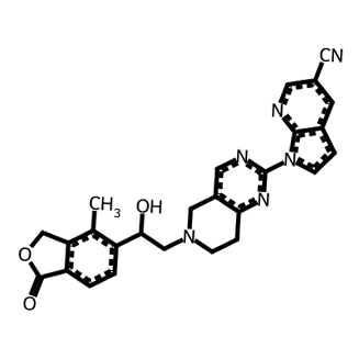 Cc1c(C(O)CN2CCc3nc(-n4ccc5cc(C#N)cnc54)ncc3C2)ccc2c1COC2=O